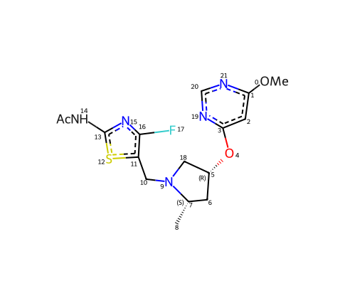 COc1cc(O[C@@H]2C[C@H](C)N(Cc3sc(NC(C)=O)nc3F)C2)ncn1